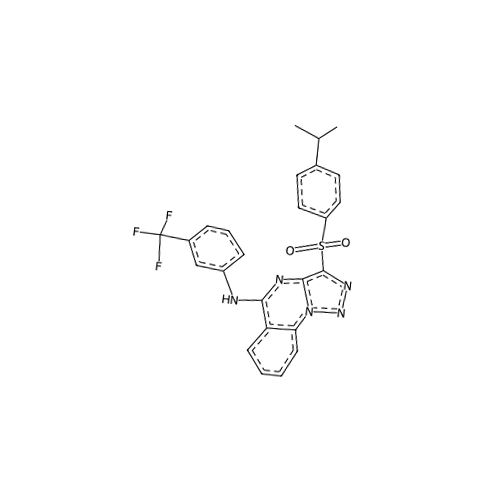 CC(C)c1ccc(S(=O)(=O)c2nnn3c2nc(Nc2cccc(C(F)(F)F)c2)c2ccccc23)cc1